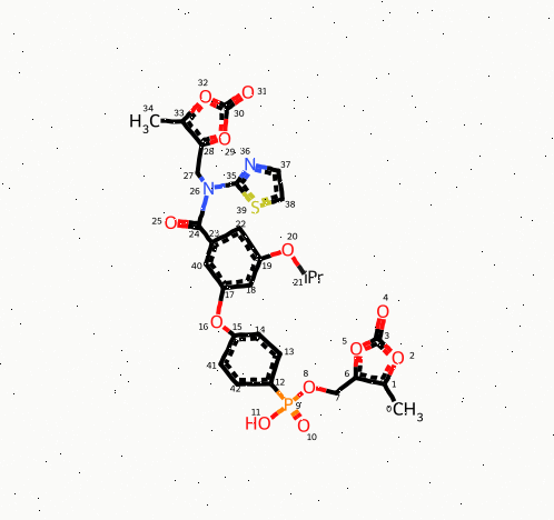 Cc1oc(=O)oc1COP(=O)(O)c1ccc(Oc2cc(OC(C)C)cc(C(=O)N(Cc3oc(=O)oc3C)c3nccs3)c2)cc1